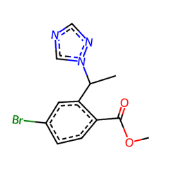 COC(=O)c1ccc(Br)cc1C(C)n1cncn1